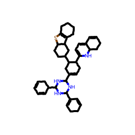 C1=CCC(C2NC(C3=CCCC=C3)NC(C3=CCC(C4=CC=C5C=CCCC5N4)C(C4CCC5SC6=C(CCCC6)C5C4)C3)N2)C=C1